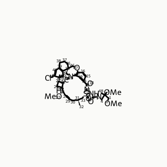 COCC1(OC)CN(C(=O)NS2(=O)=NC(=O)c3ccc4c(c3)N(C[C@@H]3CC[C@H]3[C@@H](OC)/C=C/C[C@H](C)C2)C[C@@]2(CCCc3cc(Cl)ccc32)CO4)C1